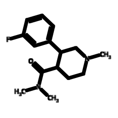 CN1CCC(C(=O)N(C)C)C(c2cccc(F)c2)C1